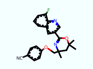 CC1(COc2ccc(C#N)cc2)CC(C)(C)OC(c2cnc3c(F)cccc3c2)=N1